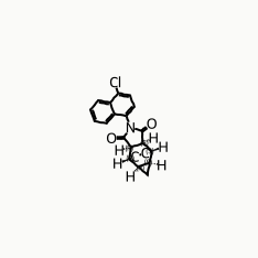 O=C1[C@@H]2[C@@H]3CC[C@@H]([C@H]4C[C@H]43)[C@@H]2C(=O)N1c1ccc(Cl)c2ccccc12